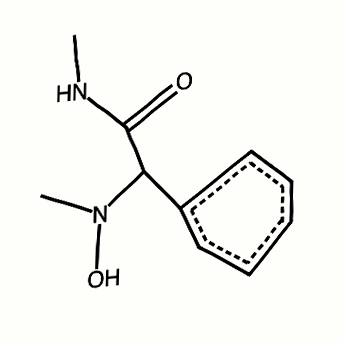 CNC(=O)C(c1ccccc1)N(C)O